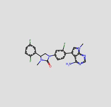 CN1C(=O)N(c2ccc(-c3cn(C)c4ncnc(N)c34)c(F)c2)CC1c1cc(F)ccc1F